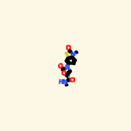 CNC(=O)[C@H]1CN(c2ccc3c(c2)sc(=O)n3C)C(=O)O1